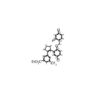 CCOC(=O)c1cc(C(F)(F)F)cc(C2=C(c3cc(Cl)ccc3OCc3ccc(Cl)cc3F)CCC2)n1